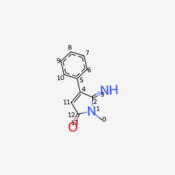 CN1C(=N)C(c2ccccc2)=CC1=O